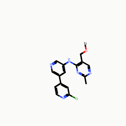 CCOCc1cnc(C)nc1Nc1cncc(-c2ccnc(Cl)c2)c1